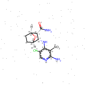 NC(=O)[C@@H]1[C@H](Nc2c(Cl)cnc(N)c2[N+](=O)[O-])[C@H]2CC[C@@H]1O2